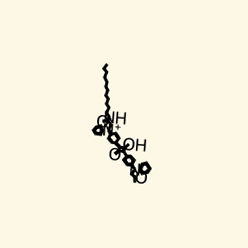 CCCCCCCCCCCCNC(=O)C[N+](=C1C=CC(=C2C(=O)C(c3ccc(N(CC(C)=O)c4ccccc4)cc3)=C2O)C=C1)c1ccccc1